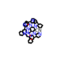 N#Cc1c(-n2c3ccccc3c3ccncc32)c(-c2nc(-c3ccccc3)cc(-c3ccccc3)n2)c(-n2c3ccccc3c3ccncc32)c(-n2c3ccccc3c3ccncc32)c1-n1c2ccccc2c2ccncc21